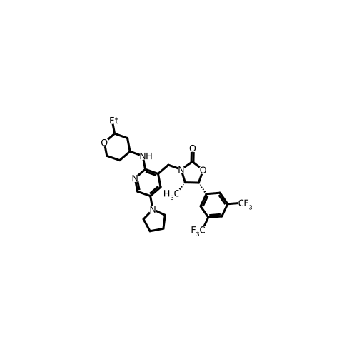 CCC1CC(Nc2ncc(N3CCCC3)cc2CN2C(=O)O[C@H](c3cc(C(F)(F)F)cc(C(F)(F)F)c3)[C@@H]2C)CCO1